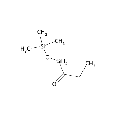 CCC(=O)[SiH2]O[Si](C)(C)C